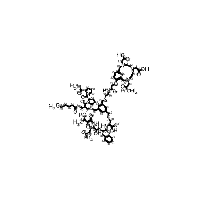 C=C(O)CN1CCN(CC(=O)O)CCN(CC(=O)O)Cc2ccc(OCC(=O)NCCSCc3cc(CSCC(/C=N/C(=O)CCCCC)C(=O)N4CCC[C@H]4C(=O)N4CCC[C@H]4C(N)=O)cc(CSCC(NC(=O)[C@H](Cc4ccccc4)NC(=O)[C@H](CCC(N)=O)NC(=O)[C@@H](C)[C@@H](C)O)C(=O)O)c3)c(n2)C1